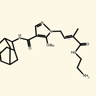 C/C(=C\Cn1ncc(C(=O)NC2C3CC4CC(C3)CC2C4)c1OCC(C)C)C(=O)NCCN